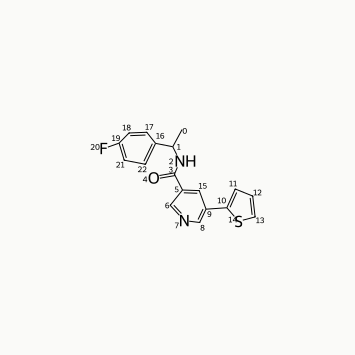 CC(NC(=O)c1cncc(-c2cccs2)c1)c1ccc(F)cc1